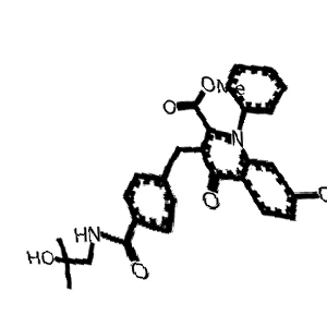 COC(=O)c1c(Cc2ccc(C(=O)NCC(C)(C)O)cc2)c(=O)c2ccc(Cl)cc2n1-c1ccccc1